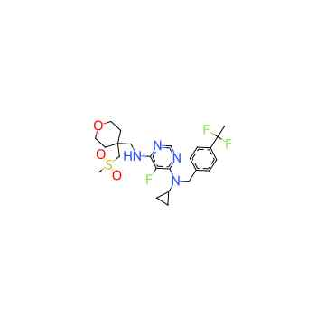 CC(F)(F)c1ccc(CN(c2ncnc(NCC3(CS(C)(=O)=O)CCOCC3)c2F)C2CC2)cc1